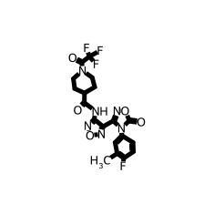 Cc1cc(-n2c(-c3nonc3NC(=O)C3CCN(C(=O)C(F)(F)F)CC3)noc2=O)ccc1F